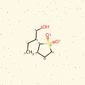 CCCCO.O=S1(=O)CCCC1